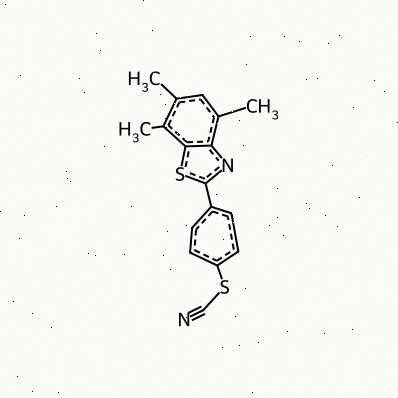 Cc1cc(C)c2nc(-c3ccc(SC#N)cc3)sc2c1C